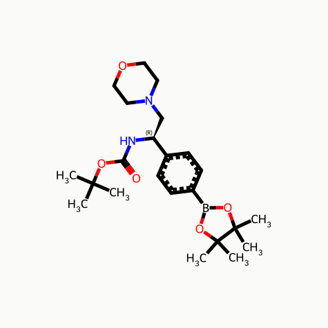 CC(C)(C)OC(=O)N[C@@H](CN1CCOCC1)c1ccc(B2OC(C)(C)C(C)(C)O2)cc1